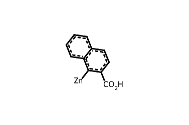 O=C(O)c1ccc2ccccc2[c]1[Zn]